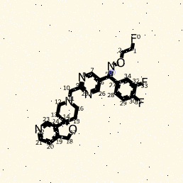 FCCO/N=C(/c1cnc(CN2CCC3(CC2)OCc2ccncc23)nc1)c1ccc(F)c(F)c1